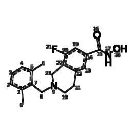 Cc1cccc(C)c1CN1CCc2cc(C(=O)NO)cc(F)c2C1